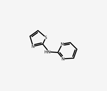 c1cnc(Nc2nccs2)nc1